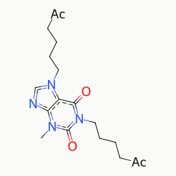 CC(=O)CCCCn1c(=O)c2c(ncn2CCCCC(C)=O)n(C)c1=O